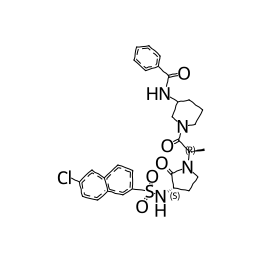 C[C@H](C(=O)N1CCCC(NC(=O)c2ccccc2)C1)N1CC[C@H](NS(=O)(=O)c2ccc3cc(Cl)ccc3c2)C1=O